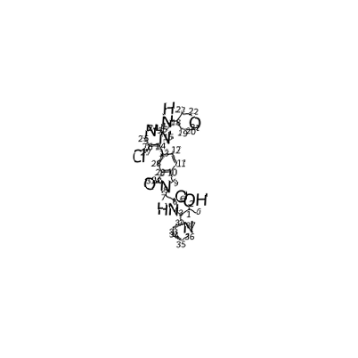 CC(O)C(NC(=O)CN1Cc2ccc(-c3nc(NC4CCOCC4)ncc3Cl)cc2C1=O)c1ccccn1